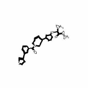 COC(=O)C(C)Oc1cccc(C2CCCN(C(=O)c3cccc(-c4ccsc4)c3)C2)c1